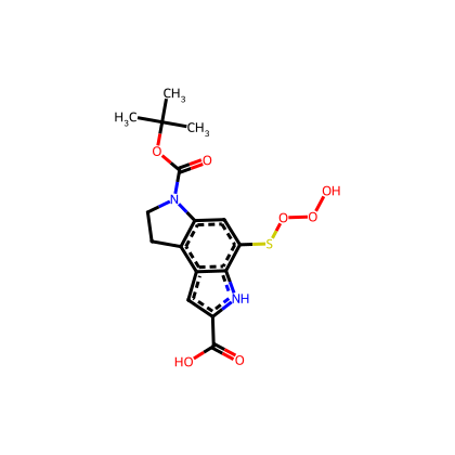 CC(C)(C)OC(=O)N1CCc2c1cc(SOOO)c1[nH]c(C(=O)O)cc21